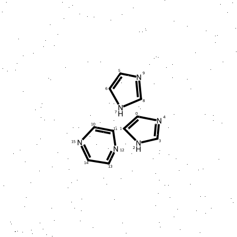 c1c[nH]cn1.c1c[nH]cn1.c1cnccn1